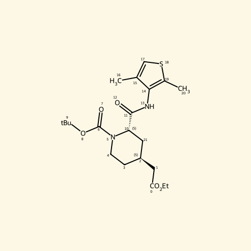 CCOC(=O)C[C@H]1CCN(C(=O)OC(C)(C)C)[C@H](C(=O)Nc2c(C)csc2C)C1